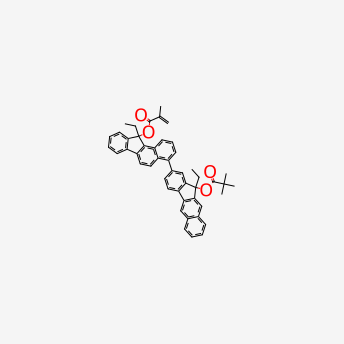 C=C(C)C(=O)OC1(CC)c2ccccc2-c2ccc3c(-c4ccc5c(c4)C(CC)(OC(=O)C(C)(C)C)c4cc6ccccc6cc4-5)cccc3c21